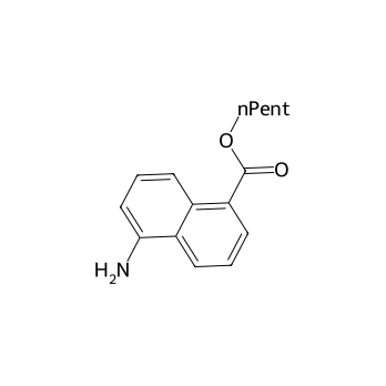 CCCCCOC(=O)c1cccc2c(N)cccc12